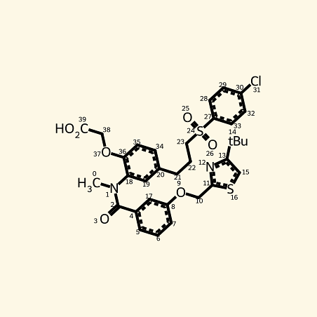 CN(C(=O)c1cccc(OCc2nc(C(C)(C)C)cs2)c1)c1cc(CCCS(=O)(=O)c2ccc(Cl)cc2)ccc1OCC(=O)O